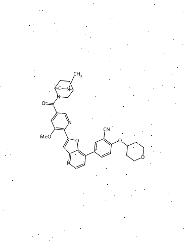 COc1cc(C(=O)N2CC3CCC2CN3C)cnc1-c1cc2nccc(-c3ccc(OC4CCOCC4)c(C#N)c3)c2o1